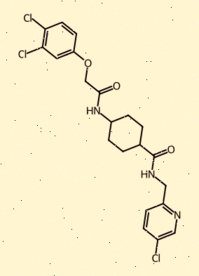 O=C(COc1ccc(Cl)c(Cl)c1)NC1CCC(C(=O)NCc2ccc(Cl)cn2)CC1